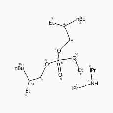 CC(C)NC(C)C.CCCCC(CC)COP(=O)(OCC)OCC(CC)CCCC